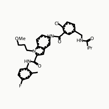 COCCCn1c(C(=O)Nc2ccc(F)cc2C)cc2cc(NC(=O)c3cc(CNC(=O)C(C)C)ccc3Cl)ccc21